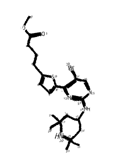 COC(=O)CCCc1ccc(-c2nc(NC3CC(C)(C)NC(C)(C)C3)ncc2Br)s1